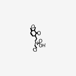 O=CCN(CCC1C=CC2=COCC2C1=O)C(=O)O